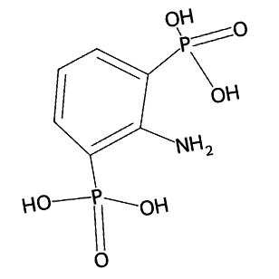 Nc1c(P(=O)(O)O)cccc1P(=O)(O)O